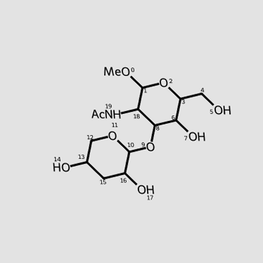 COC1OC(CO)C(O)C(OC2OCC(O)CC2O)C1NC(C)=O